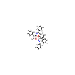 CCOP(=O)(CN=C(c1ccccc1)c1ccccc1)C(Cc1ccccc1)N=C(c1ccccc1)c1ccccc1